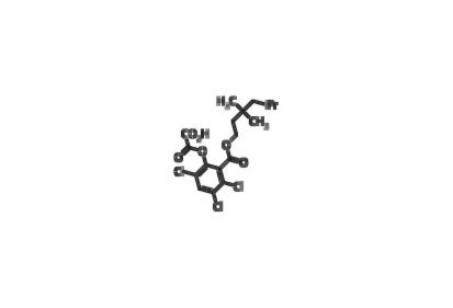 CC(C)CC(C)(C)CCOC(=O)c1c(Cl)c(Cl)cc(Cl)c1OC(=O)C(=O)O